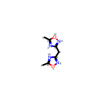 Cc1nc(Cc2noc(C)n2)no1